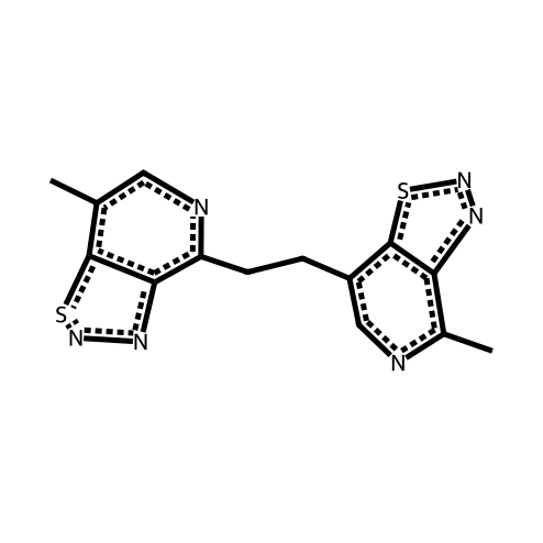 Cc1ncc(CCc2ncc(C)c3snnc23)c2snnc12